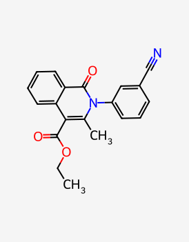 CCOC(=O)c1c(C)n(-c2cccc(C#N)c2)c(=O)c2ccccc12